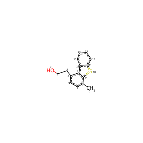 Cc1ccc(CCO)c2c1sc1ccccc12